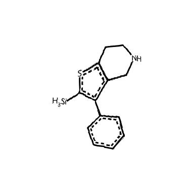 [SiH3]c1sc2c(c1-c1ccccc1)CNCC2